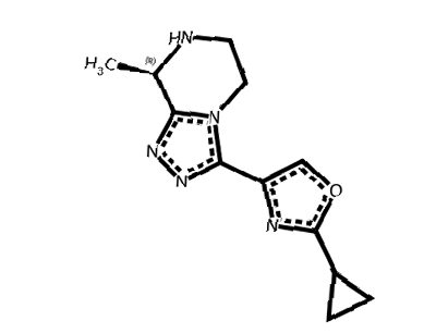 C[C@H]1NCCn2c(-c3coc(C4CC4)n3)nnc21